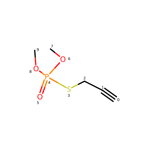 C#CCSP(=O)(OC)OC